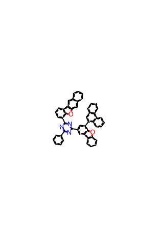 c1ccc(-c2nc(-c3cc(-c4cc5ccccc5c5ccccc45)c4oc5ccccc5c4c3)nc(-c3cccc4c3oc3cc5ccccc5cc34)n2)cc1